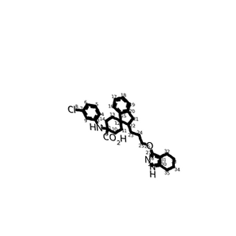 O=C(O)C1(Nc2cccc(Cl)c2)CCC2(CC1)c1ccccc1CC2CCCOc1n[nH]c2c1CCCC2